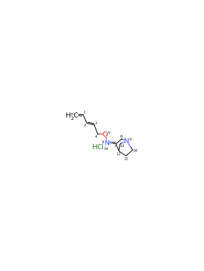 C=CC=CCON=C1CN2CCC1C2.Cl